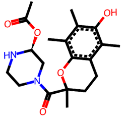 CC(=O)O[C@H]1CN(C(=O)C2(C)CCc3c(C)c(O)c(C)c(C)c3O2)CCN1